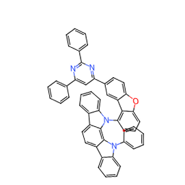 c1ccc(-c2cc(-c3ccc4oc5cccc(-n6c7ccccc7c7ccc8c9ccccc9n(-c9ccccc9)c8c76)c5c4c3)nc(-c3ccccc3)n2)cc1